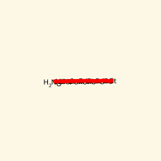 CCOCCOCCOCCOCCOCCOCCOCCOCCOCCOCCOCCOCCC(=O)NCCN